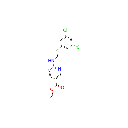 CCOC(=O)c1cnc(NCCc2cc(Cl)cc(Cl)c2)nc1